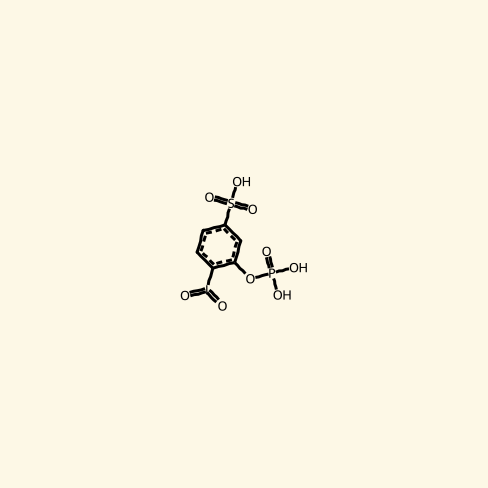 O=I(=O)c1ccc(S(=O)(=O)O)cc1OP(=O)(O)O